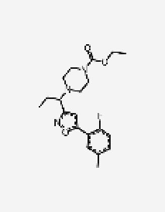 CCOC(=O)N1CCN(C(CC)c2cc(-c3cc(C)ccc3F)on2)CC1